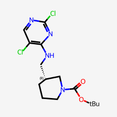 CC(C)(C)OC(=O)N1CCC[C@H](CNc2nc(Cl)ncc2Cl)C1